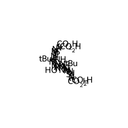 CC(C)(C)c1nn(-c2nc(O)nc(-n3nc(C(C)(C)C)c(N=Nc4nnc(N(CC(=O)O)CC(=O)O)s4)c3N)n2)c(N)c1N=Nc1nnc(N(CC(=O)O)CC(=O)O)s1